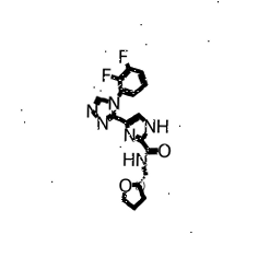 O=C(NC[C@@H]1CCCO1)c1nc(-c2nncn2-c2cccc(F)c2F)c[nH]1